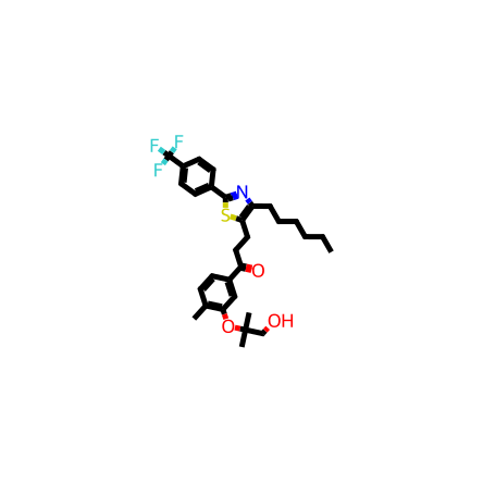 CCCCCCc1nc(-c2ccc(C(F)(F)F)cc2)sc1CCC(=O)c1ccc(C)c(OC(C)(C)CO)c1